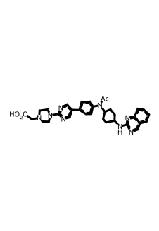 CC(=O)N(c1ccc(-c2cnc(N3CCN(CC(=O)O)CC3)nc2)cc1)C1CCC(Nc2ncc3ccccc3n2)CC1